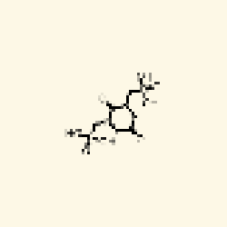 O=C1CN(CP(=O)(O)O)C(=O)C(CP(=O)(O)O)N1